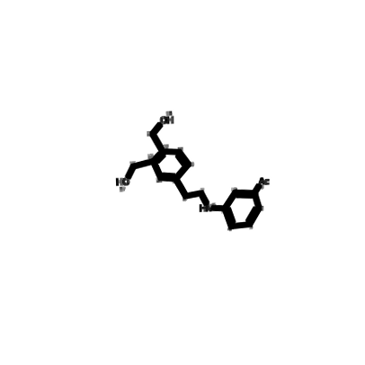 CC(=O)c1cccc(NCCc2ccc(CO)c(CO)c2)c1